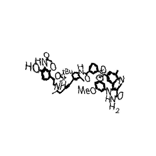 COc1cccc(Nc2c(C(N)=O)cnc3c(C)cc(S(=O)(=O)c4cccc(C(=O)Nc5ccc(C#CC[C@@H](C)NCC(O[Si](C)(C)C(C)(C)C)c6ccc(O)c7c6OCC(=O)N7)cc5C)c4)cc23)c1